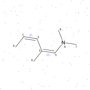 C/C=C\C(C)=C/N(C)C